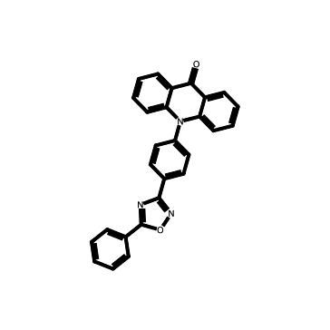 O=c1c2ccccc2n(-c2ccc(-c3noc(-c4ccccc4)n3)cc2)c2ccccc12